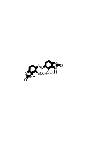 O=c1[nH]c2c(s1)=CCC(=NN=C1CC=c3sc(=O)[nH]c3=C1S(=O)(=O)O)C=2S(=O)(=O)O